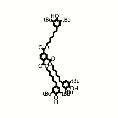 CC(C)(C)c1cc(CCCCCCOC(=O)c2ccc(C(=O)OCCCCCCc3cc(C(C)(C)C)c(O)c(C(C)(C)C)c3)c(C(=O)OCCCCCCc3cc(C(C)(C)C)c(O)c(C(C)(C)C)c3)c2)cc(C(C)(C)C)c1O